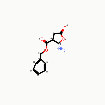 N[C@H]1OC(=O)CC1C(=O)OCc1ccccc1